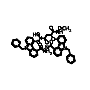 CONC(=O)C(CC(=O)N(O)Oc1cccc2c1c1c(C(N)=O)cccc1n2Cc1ccccc1)Oc1cccc2c1c1c(C(N)=O)cccc1n2Cc1ccccc1